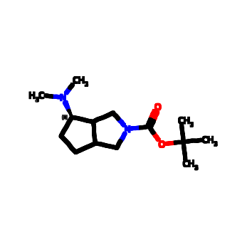 CN(C)[C@@H]1CCC2CN(C(=O)OC(C)(C)C)CC21